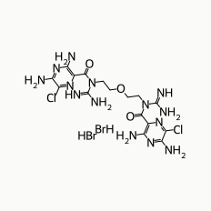 Br.Br.N=C(N)N(CCOCCN(C(=N)N)C(=O)c1nc(Cl)c(N)nc1N)C(=O)c1nc(Cl)c(N)nc1N